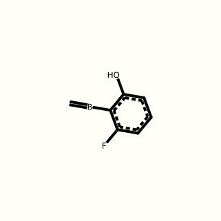 C=Bc1c(O)cccc1F